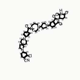 N#Cc1ccc(N2CCC3(CCN(c4ccc(C(=O)N5CCCN(C6CCN(c7ccc8c(c7)C(=O)N(C7CCC(=O)NC7=O)C8=O)CC6)CCC5)cc4)CC3)C2)cc1Cl